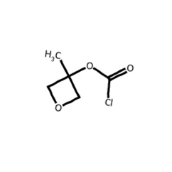 CC1(OC(=O)Cl)COC1